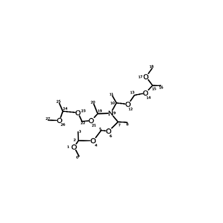 COC(C)OCOC(C)N(C(C)OCOC(C)OC)C(C)OCOC(C)OC